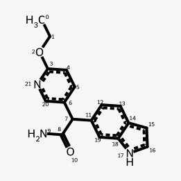 CCOc1ccc(C(C(N)=O)c2ccc3cc[nH]c3c2)cn1